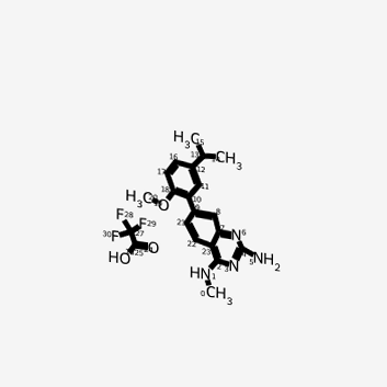 CNc1nc(N)nc2cc(-c3cc(C(C)C)ccc3OC)ccc12.O=C(O)C(F)(F)F